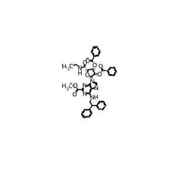 CCNC(=O)[C@H]1O[C@@H](n2cnc3c(NCC(c4ccccc4)c4ccccc4)nc(C(=O)OC)nc32)[C@H](OC(=O)c2ccccc2)[C@H]1OC(=O)c1ccccc1